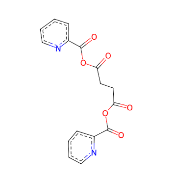 O=C(CCC(=O)OC(=O)c1ccccn1)OC(=O)c1ccccn1